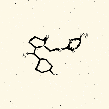 CC(C)(C)C1CCC(C(N)[C@H]2CCC(=O)N2CCSc2nc(C(=O)O)cs2)CC1